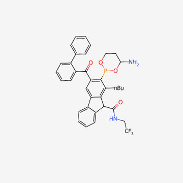 CCCCc1c2c(cc(C(=O)c3ccccc3-c3ccccc3)c1P1OCCC(N)O1)-c1ccccc1C2C(=O)NCC(F)(F)F